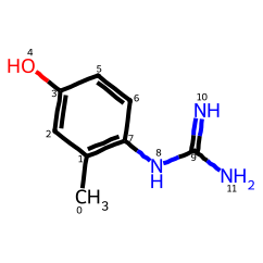 Cc1cc(O)ccc1NC(=N)N